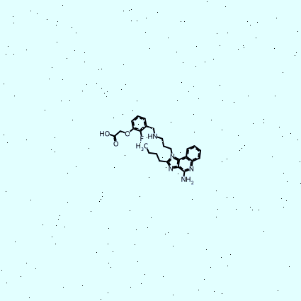 CCCCc1nc2c(N)nc3ccccc3c2n1CCCNCc1cccc(OCC(=O)O)c1F